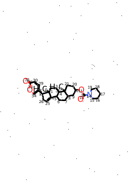 CC12CCC3C(CCC4CC(OC(=O)N5CCCCC5)CCC43C)C1=CCC2c1ccc(=O)oc1